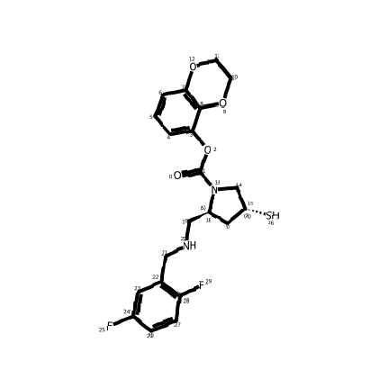 O=C(Oc1cccc2c1OCCO2)N1C[C@H](S)C[C@H]1CNCc1cc(F)ccc1F